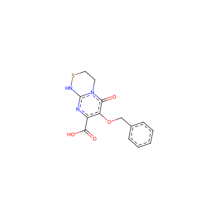 O=C(O)c1nc2n(c(=O)c1OCc1ccccc1)CCSN2